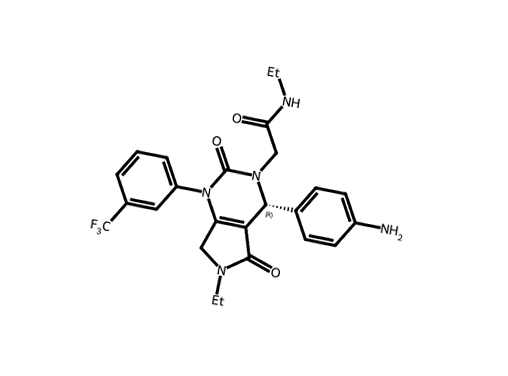 CCNC(=O)CN1C(=O)N(c2cccc(C(F)(F)F)c2)C2=C(C(=O)N(CC)C2)[C@H]1c1ccc(N)cc1